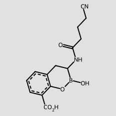 N#CCCCC(=O)NC1Cc2cccc(C(=O)O)c2OB1O